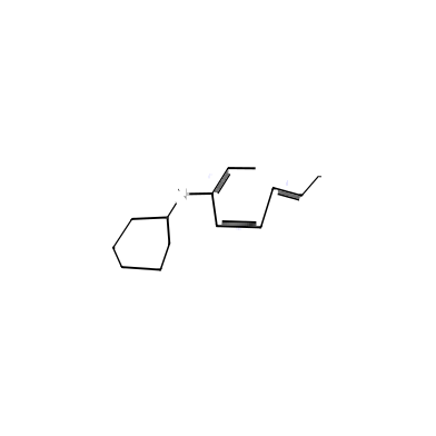 C\C=C(/C=C\C=C\I)NC1CCCCC1